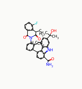 Cc1c(-c2ccc(C(N)=O)c3[nH]c4cc(C(C)(C)O)cc(C)c4c23)cccc1N1C(=O)c2cccc(F)c2C(C)C1=O